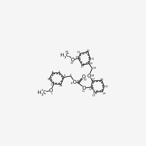 COc1cccc(COC(=O)Oc2ncccc2OCc2cccc(OC)c2)c1